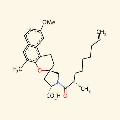 C=CCCCCC[C@H](C)C(=O)N1C[C@@]2(CCc3c(c(C(F)(F)F)cc4ccc(OC)cc34)O2)C[C@H]1C(=O)O